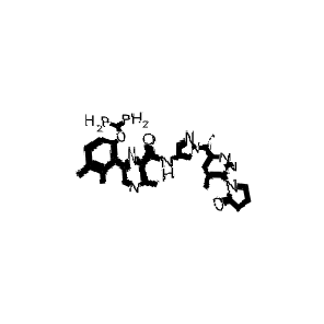 Cc1cc([C@@H](C)n2cc(NC(=O)c3nc(-c4c(OC(P)P)ccc(C)c4C)cnc3C)cn2)nnc1N1CCCC1=O